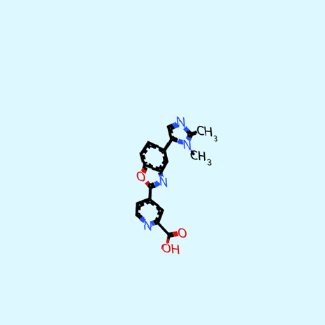 Cc1ncc(-c2ccc3oc(-c4ccnc(C(=O)O)c4)nc3c2)n1C